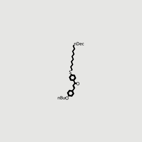 CCCCCCCCCCCCCCCCCCCCSc1ccc(C(=O)C=Cc2ccc(OCCCC)cc2)cc1